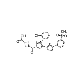 CS(=O)(=O)c1cccc(-c2ccc(-c3cc(C(=O)N4CC(C(=O)O)C4)nn3-c3ccccc3Cl)s2)c1